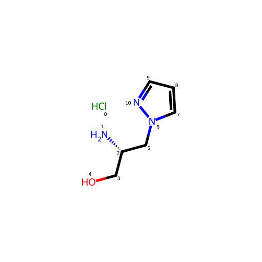 Cl.N[C@@H](CO)Cn1cccn1